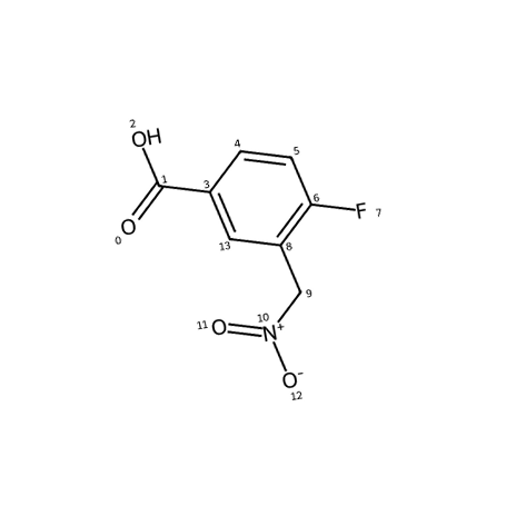 O=C(O)c1ccc(F)c(C[N+](=O)[O-])c1